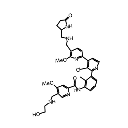 COc1cc(C(=O)Nc2cccc(-c3nccc(-c4ccc(CNCC5CCC(=O)N5)c(OC)n4)c3Cl)c2C)ncc1CNCCO